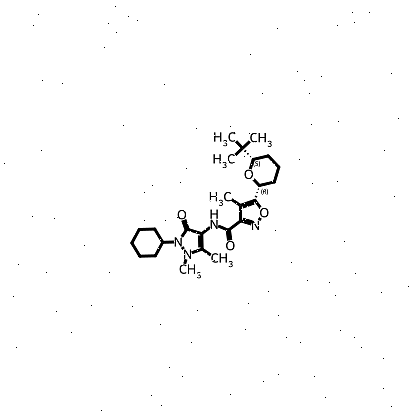 Cc1c(C(=O)Nc2c(C)n(C)n(C3CCCCC3)c2=O)noc1[C@H]1CCC[C@@H](C(C)(C)C)O1